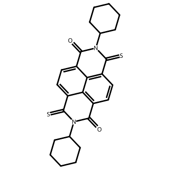 O=C1c2ccc3c4c(ccc(c24)C(=S)N1C1CCCCC1)C(=O)N(C1CCCCC1)C3=S